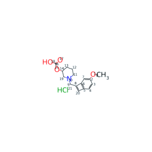 COc1ccc2c(c1)C(CN1CCCC(OC(=O)O)C1)=C2.Cl